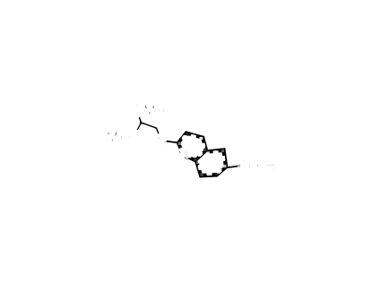 COC(CSc1ccc2cc(C(=O)O)ccc2n1)OC